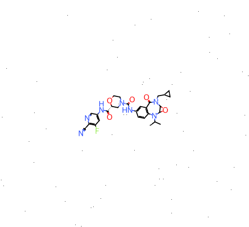 CC(C)N1c2ccc(NC(=O)N3CCO[C@@H](C(=O)Nc4cnc(C#N)c(F)c4)C3)cc2C(=O)N(CC2CC2)C2OC21